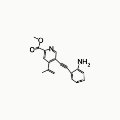 C=C(C)c1cc(C(=O)OC)ncc1C#Cc1ccccc1N